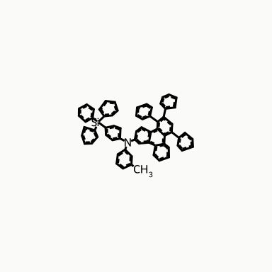 Cc1cccc(N(c2ccc([Si](c3ccccc3)(c3ccccc3)c3ccccc3)cc2)c2ccc3c(c2)c2ccccc2c2c(-c4ccccc4)cc(-c4ccccc4)c(-c4ccccc4)c32)c1